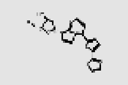 OC[C@H]1O[C@@H](n2ccc3c(-c4ccc(-c5nccs5)s4)ccnc32)CC1O